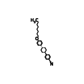 CCCCCCCCOc1ccc([C@H]2CC[C@H](c3ccc(C#N)cc3)CC2)cc1